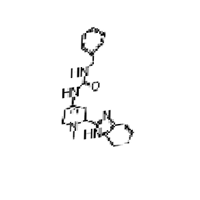 CN1CC[C@@H](NC(=O)NCc2ccccc2)CC1c1nc2c([nH]1)CCC=C2